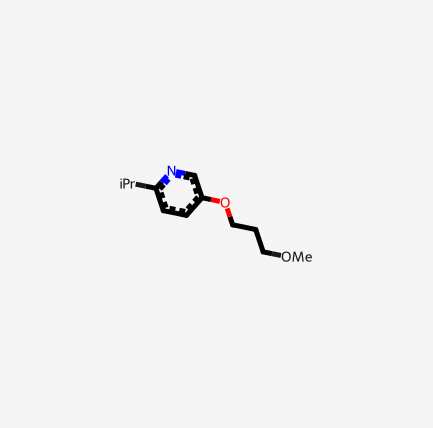 COCCCOc1ccc(C(C)C)nc1